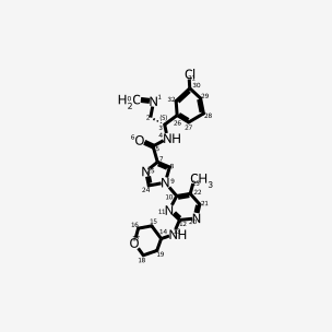 C=NC[C@@H](NC(=O)c1cn(-c2nc(NC3CCOCC3)ncc2C)cn1)c1cccc(Cl)c1